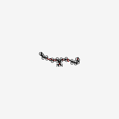 C=CC(=O)OCC(C)OCC(C)OC(=O)CCC(=O)OCCc1ccc(OC(=O)[C@H]2CC[C@H](C(=O)Oc3ccc(OC(=O)[C@H]4CC[C@H](C(=O)Oc5ccc(CCOC(=O)CCC(=O)OCC(C)OC(=O)C=C)cc5)CC4)c4c3SC(=C(C#N)C#N)S4)CC2)cc1